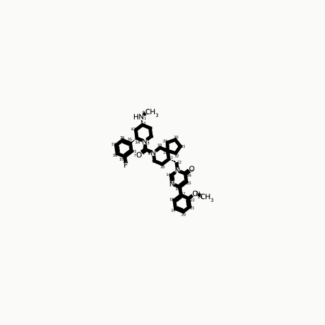 CN[C@@H]1CCN(C(=O)N2CC[C@@H](Cn3cnc(-c4ccccc4OC)cc3=O)C3(CCCC3)C2)[C@H](c2cccc(F)c2)C1